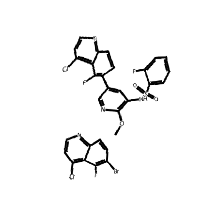 COc1ncc(-c2ccc3nccc(Cl)c3c2F)cc1NS(=O)(=O)c1ccccc1F.Fc1c(Br)ccc2nccc(Cl)c12